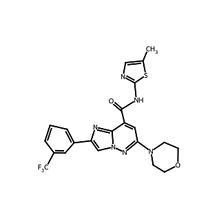 Cc1cnc(NC(=O)c2cc(N3CCOCC3)nn3cc(-c4cccc(C(F)(F)F)c4)nc23)s1